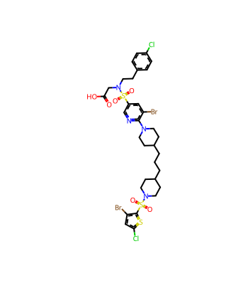 O=C(O)CN(CCc1ccc(Cl)cc1)S(=O)(=O)c1cnc(N2CCC(CCCC3CCN(S(=O)(=O)c4sc(Cl)cc4Br)CC3)CC2)c(Br)c1